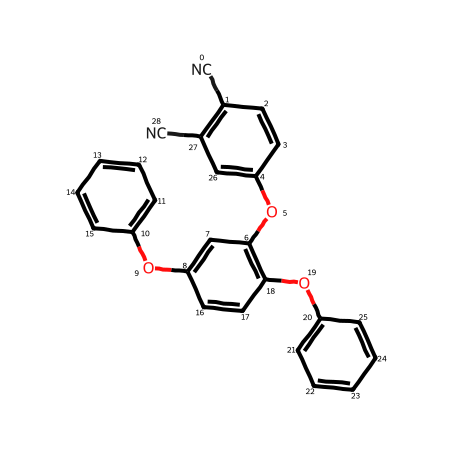 N#Cc1ccc(Oc2cc(Oc3ccccc3)ccc2Oc2ccccc2)cc1C#N